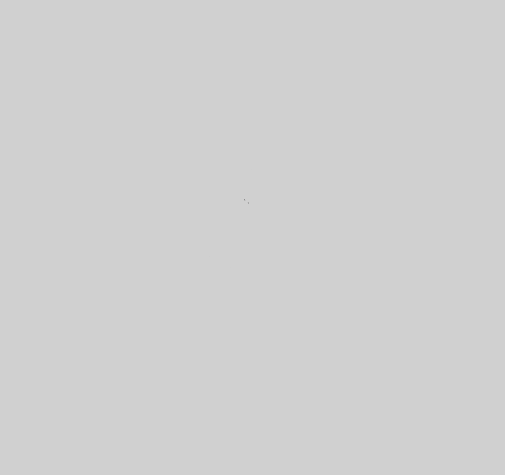 CCNCCc1c(C)ccc2ccccc12